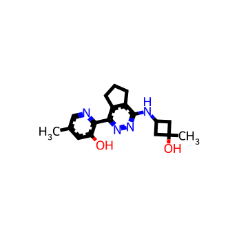 Cc1cnc(-c2nnc(NC3CC(C)(O)C3)c3c2CCC3)c(O)c1